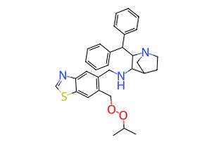 CC(C)OOCc1cc2scnc2cc1CNC1C2CCN(C2)C1C(c1ccccc1)c1ccccc1